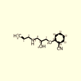 C=CCNCC(O)COc1ccccc1C#N